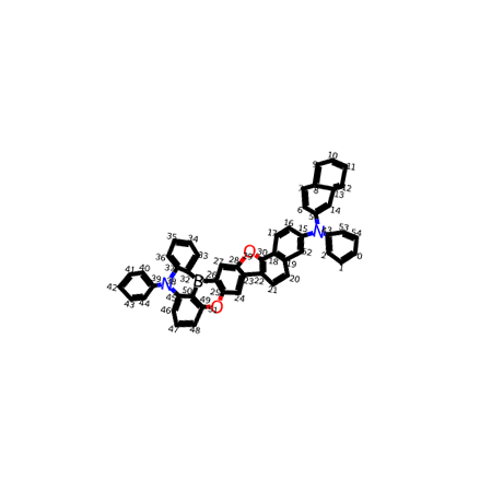 c1ccc(N(c2ccc3ccccc3c2)c2ccc3c(ccc4c5cc6c(cc5oc34)B3c4ccccc4N(c4ccccc4)c4cccc(c43)O6)c2)cc1